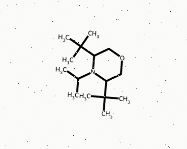 CC(C)N1C(C(C)(C)C)COCC1C(C)(C)C